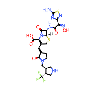 Nc1nc(/C(=N/O)C(=O)N[C@@H]2C(=O)N3C(C(=O)O)=C(C=C4CCN(C[C@H]5CNC[C@@H]5C(F)(F)F)C4=O)CS[C@H]23)ns1